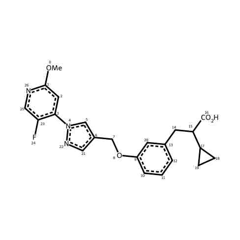 COc1cc(-n2cc(COc3cccc(CC(C(=O)O)C4CC4)c3)cn2)c(F)cn1